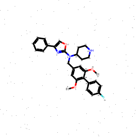 CCOc1cc(CN(c2nc(-c3ccccc3)co2)C2CCNCC2)cc(OCC)c1-c1ccc(F)cc1